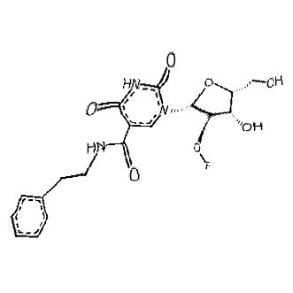 O=C(NCCc1ccccc1)c1cn([C@@H]2O[C@H](CO)[C@H](O)[C@H]2OF)c(=O)[nH]c1=O